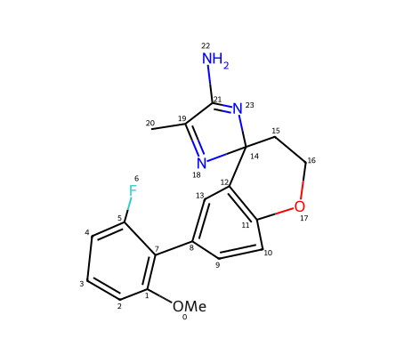 COc1cccc(F)c1-c1ccc2c(c1)C1(CCO2)N=C(C)C(N)=N1